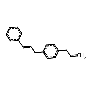 C=CCc1ccc(CC=Cc2ccccc2)cc1